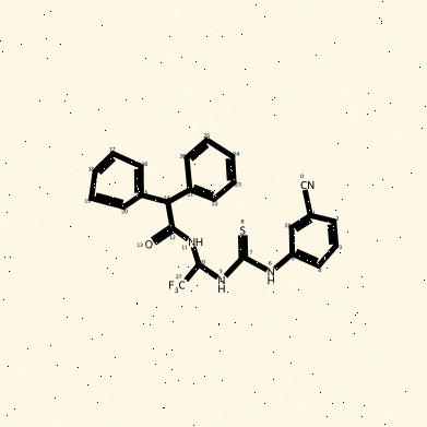 N#Cc1cccc(NC(=S)NC(NC(=O)C(c2ccccc2)c2ccccc2)C(F)(F)F)c1